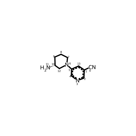 N#Cc1cncc(N2CCC[C@@H](N)C2)c1